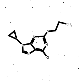 CCCSc1nc(Cl)c2ncn(C3CC3)c2n1